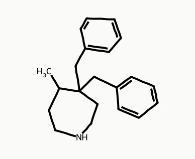 CC1CCNCCC1(Cc1ccccc1)Cc1ccccc1